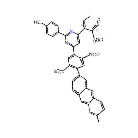 C/C=C(\C(=C/CC)CCCCCCCC)c1cc(-c2cc(CCCCCCCC)c(-c3ccc4cc5cc(C)ccc5cc4c3)cc2CCCCCCCC)nc(-c2ccc(C#N)cc2)n1